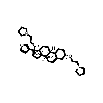 C[C@]12CC[C@H]3[C@@H](CC=C4C[C@@H](OCCN5CCCC5)CC[C@@]43C)[C@@]1(O)CC[C@]2(OCCN1CCCC1)c1ccoc1